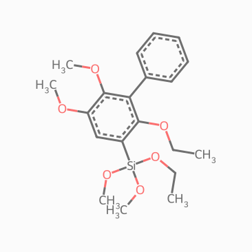 CCOc1c([Si](OC)(OC)OCC)cc(OC)c(OC)c1-c1ccccc1